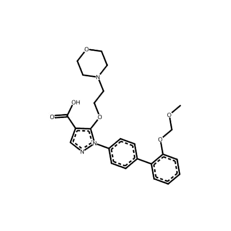 COCOc1ccccc1-c1ccc(-n2ncc(C(=O)O)c2OCCN2CCOCC2)cc1